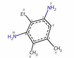 CCc1c(N)cc(C)c(C)c1N